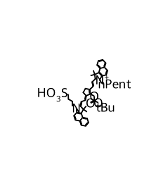 CCCCC[N+]1=C(/C=C/C2=C(OC(=O)OC(C)(C)C)C(=C/C=C3/N(CCCCS(=O)(=O)O)c4ccc5ccccc5c4C3(C)C)/CC2)C(C)(C)c2c1ccc1ccccc21